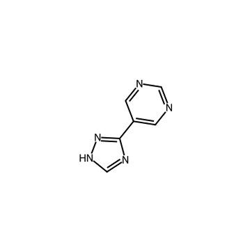 c1ncc(-c2nc[nH]n2)cn1